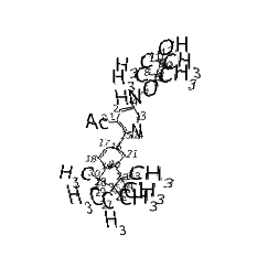 CC(=O)c1cc(NOC(C)(C)C(C)(C)O)cnc1-c1ccc2c(c1)C(C)(C)C(C)(C)C2(C)C